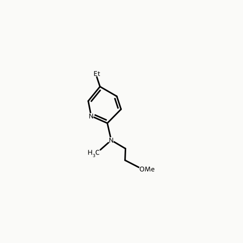 CCc1ccc(N(C)CCOC)nc1